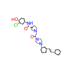 O=C(Nc1ccc(O)c(Cl)c1)[C@@H]1CCN(CC(=O)N2CCN(c3cccc(/C=C/c4ccccc4)c3)CC2)C1